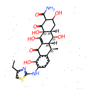 CCc1csc(Nc2ccc3c(c2O)C(=O)C2=C(O)[C@]4(O)C(=O)C(C(N)=O)C(O)C[C@@H]4[C@@H](O)[C@@H]2[C@H]3C)n1